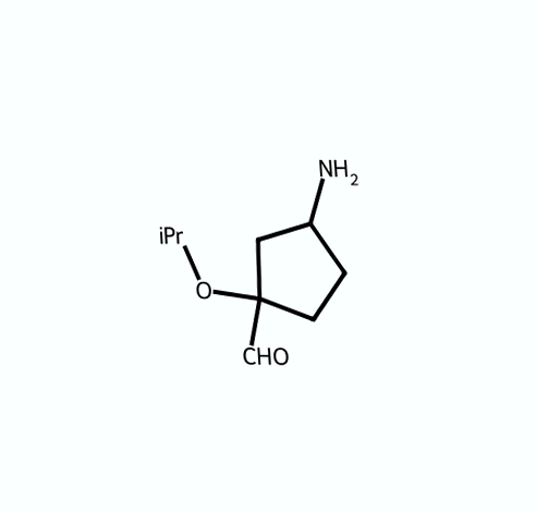 CC(C)OC1(C=O)CCC(N)C1